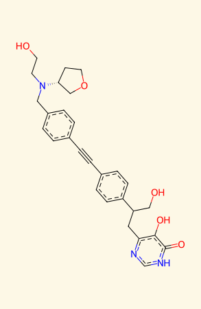 O=c1[nH]cnc(CC(CO)c2ccc(C#Cc3ccc(CN(CCO)[C@@H]4CCOC4)cc3)cc2)c1O